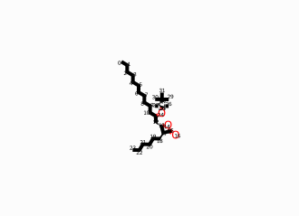 CCCCCCCCCCCC(C[C@@H]1OC(=O)[C@H]1CCCCCC)O[Si](C)(C)C(C)(C)C